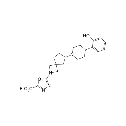 CCOC(=O)c1nnc(N2CC3(CCC(N4CCC(c5ccccc5O)CC4)C3)C2)o1